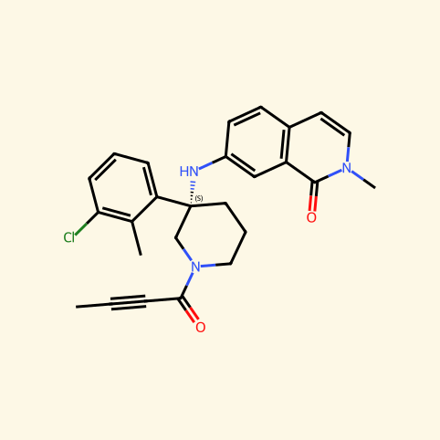 CC#CC(=O)N1CCC[C@](Nc2ccc3ccn(C)c(=O)c3c2)(c2cccc(Cl)c2C)C1